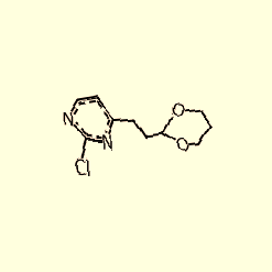 Clc1nccc(CCC2OCCCO2)n1